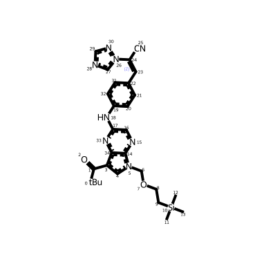 CC(C)(C)C(=O)c1cn(COCC[Si](C)(C)C)c2ncc(Nc3ccc(/C=C(/C#N)n4cncn4)cc3)nc12